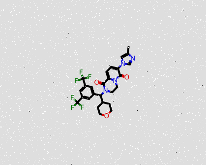 Cc1cn(-c2ccc3n(c2=O)CCN(C(c2cc(C(F)(F)F)cc(C(F)(F)F)c2)C2CCOCC2)C3=O)cn1